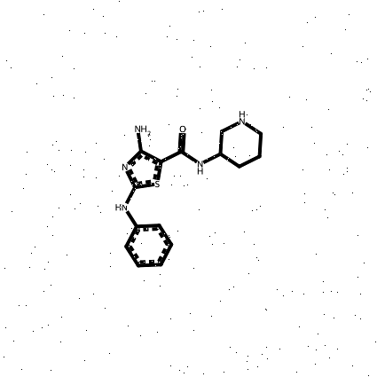 Nc1nc(Nc2ccccc2)sc1C(=O)NC1CCCNC1